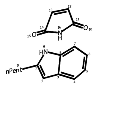 CCCCCc1cc2ccccc2[nH]1.O=C1C=CC(=O)N1